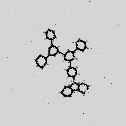 c1ccc(-c2cc(-c3ccccc3)cc(-c3cc(-c4ccc(-n5c6ccccc6c6cccnc65)cc4)nc(-c4ccccn4)c3)c2)cc1